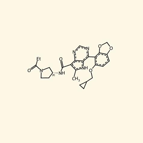 CCC(=O)N1CC[C@@H](NC(=O)c2c(C)[nH]c3c(-c4c(OCC5CC5)ccc5c4OCO5)ncnc23)C1